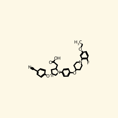 CCOc1ccc(F)c(N2CCC(Oc3ccc(N4C[C@H](Oc5ccc(C#N)cc5)CC4CC(=O)O)cc3)CC2)c1